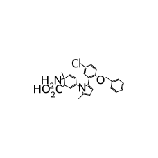 Cc1ccc(-c2cc(Cl)ccc2OCc2ccccc2)n1C1=CC(C(=O)O)C(C)(N)C=C1